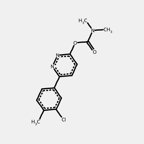 Cc1ccc(-c2ccc(OC(=O)N(C)C)nn2)cc1Cl